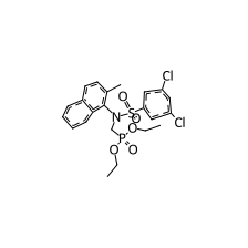 CCOP(=O)(CN(c1c(C)ccc2ccccc12)S(=O)(=O)c1cc(Cl)cc(Cl)c1)OCC